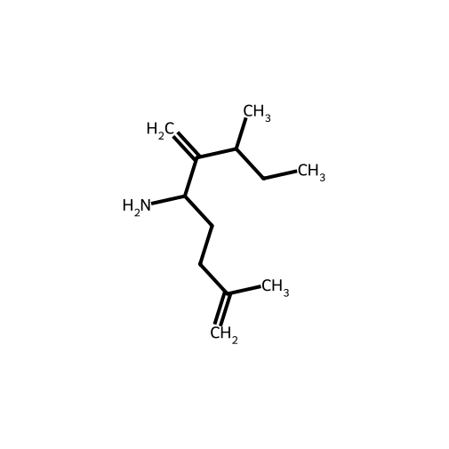 C=C(C)CCC(N)C(=C)C(C)CC